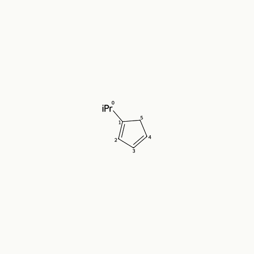 CC(C)C1=CC=CC1